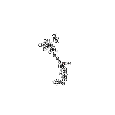 CCc1c2c(nc3ccccc13)-c1cc3c(c(=O)n1C2)COC(=O)C3(CC)OC(=O)[C@@H](NC(=O)[C@@H]1CCCN1C(=O)[C@H](CC(=O)O)NC(=O)CCOCCOCCOCCNC(=O)NC[C@H](NC(=O)CCCCN(C(=O)OC(C)(C)C)c1cc(C)ccn1)C(=O)N[C@@H](CC(=O)O)c1cc(Cl)cc(Cl)c1)C(C)C